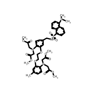 COC(=O)CN(CC(=O)OC)c1ccc(C)cc1OCCOc1cc(CNS(=O)(=O)c2cccc3c(N(C)C)cccc23)ccc1N(CC(=O)OC)CC(=O)OC